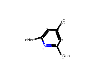 [CH2]Cc1cc(CCCCCCCCC)nc(CCCCCCCCC)c1